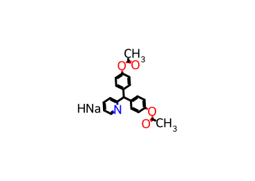 CC(=O)Oc1ccc(C(c2ccc(OC(C)=O)cc2)c2ccccn2)cc1.[NaH]